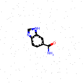 NC(=O)c1ccc2nc[nH]c2c1